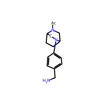 CC(=O)N1CC2CCC1CN2c1ccc(CN)cc1